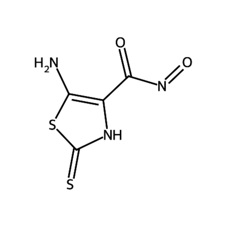 Nc1sc(=S)[nH]c1C(=O)N=O